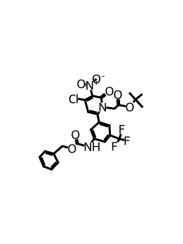 CC(C)(C)OC(=O)Cn1c(-c2cc(NC(=O)OCc3ccccc3)cc(C(F)(F)F)c2)cc(Cl)c([N+](=O)[O-])c1=O